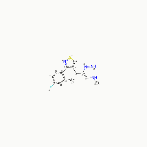 CCN/C=C(/Cc1csnc1-c1ccc(F)cc1C(C)=O)N=N